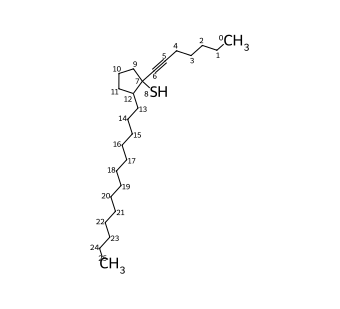 CCCCCC#CC1(S)CCCC1CCCCCCCCCCCCC